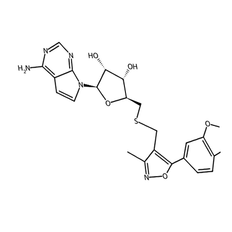 Cc1noc(-c2ccc3c(c2)OCO3)c1CSC[C@H]1O[C@@H](n2ccc3c(N)ncnc32)[C@H](O)[C@@H]1O